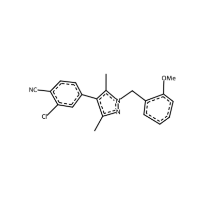 COc1ccccc1Cn1nc(C)c(-c2ccc(C#N)c(Cl)c2)c1C